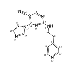 N#Cc1cnc(NCCc2ccncc2)nc1-n1cncn1